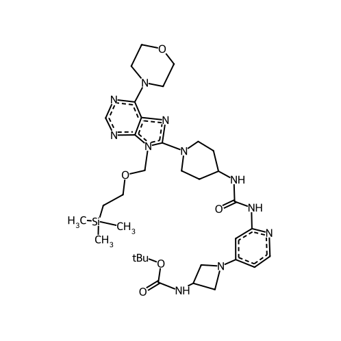 CC(C)(C)OC(=O)NC1CN(c2ccnc(NC(=O)NC3CCN(c4nc5c(N6CCOCC6)ncnc5n4COCC[Si](C)(C)C)CC3)c2)C1